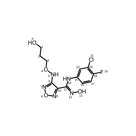 OCCCONc1nonc1/C(=N/O)Nc1ccc(F)c(Cl)c1